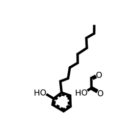 CCCCCCCCCc1ccccc1O.O=CC(=O)O